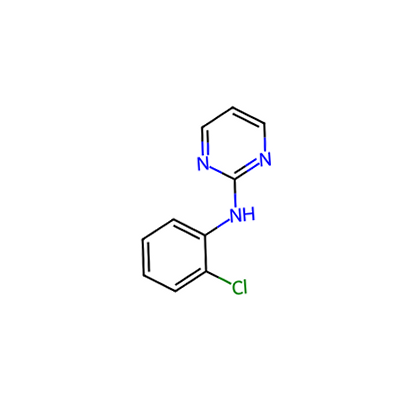 Clc1ccccc1Nc1ncccn1